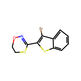 Brc1c(C2=NOCCS2)sc2ccccc12